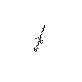 CCCCCCCCNC(=O)CCCC[N+](C)C